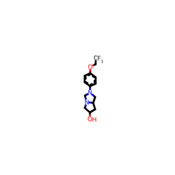 OC1CC2CN(c3ccc(OCC(F)(F)F)cc3)CN2C1